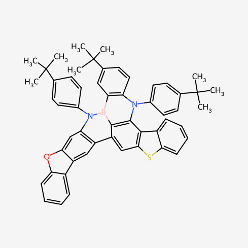 CC(C)(C)c1ccc(N2B3c4cc(C(C)(C)C)ccc4N(c4ccc(C(C)(C)C)cc4)c4c3c(cc3sc5ccccc5c43)-c3cc4c(cc32)oc2ccccc24)cc1